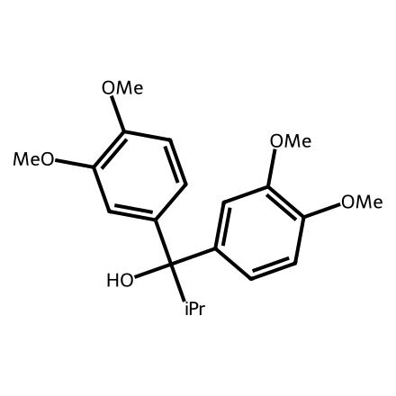 COc1ccc(C(O)(c2ccc(OC)c(OC)c2)C(C)C)cc1OC